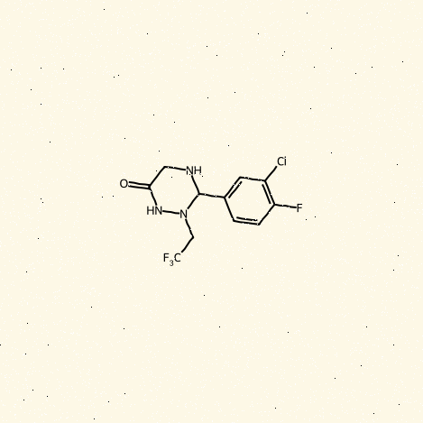 O=C1CNC(c2ccc(F)c(Cl)c2)N(CC(F)(F)F)N1